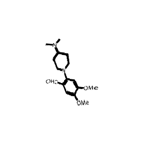 COc1cc(C=O)c(N2CCC(N(C)C)CC2)cc1OC